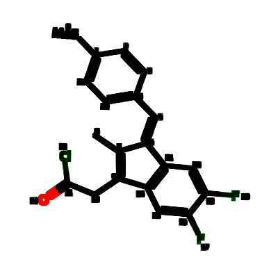 CSc1ccc(/C=C2\C(C)=C(CC(=O)Cl)c3cc(F)c(F)cc32)cc1